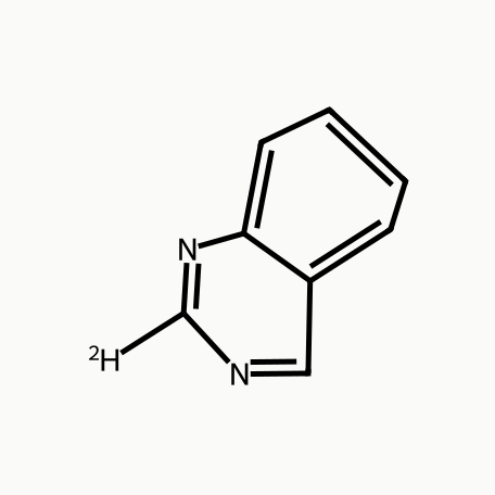 [2H]c1ncc2ccccc2n1